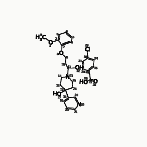 COc1ccccc1OCC[C@H](O)N1CCC(O)(c2cccnc2)CC1.O=C(O)c1ccc(Cl)cc1